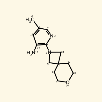 Cc1cnc(N2CC3(CCOCC3)C2)c(N)c1